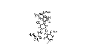 COc1ccc(F)c(F)c1COc1cc(-n2c(=O)[nH]c3c(OC)nc(CF)nc32)c(Cl)cc1OCC(=O)N(C)C